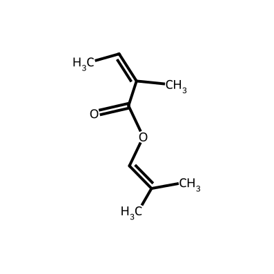 CC=C(C)C(=O)OC=C(C)C